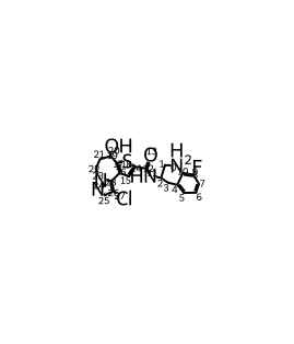 NCC(Cc1cccc(F)c1)NC(=O)c1cc2c(s1)C(O)CCn1ncc(Cl)c1-2